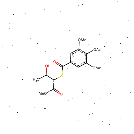 COC(=O)C(SC(=O)c1cc(OC)c(OC(C)=O)c(OC)c1)C(C)O